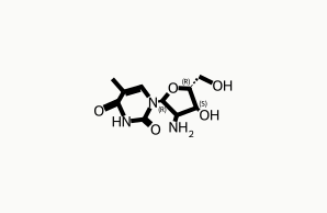 Cc1cn([C@@H]2O[C@H](CO)[C@@H](O)C2N)c(=O)[nH]c1=O